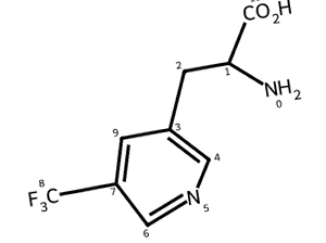 NC(Cc1cncc(C(F)(F)F)c1)C(=O)O